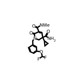 CNC(=O)C1=CC(C(N)=O)(C2CC2)CN(Cc2cccc(OC(F)F)c2)C1=O